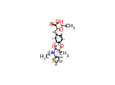 CCOC(Cc1ccc(OC(C)C(=O)N(CC)c2cccs2)cc1)C(=O)O